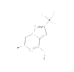 CSC1=N[C@@H](C)Cn2nc(C(F)(F)F)cc21